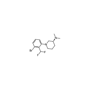 CN(C)[C@H]1CCCN(c2cccc(Br)c2C(F)F)C1